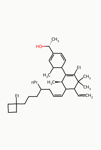 C=CC1C(/C=C\CC(CCC)CCCC2(CC)CCC2)[C@@H](C)C(C2C=CC([C@@H](C)O)=CC2C)=C(CC)C1(C)C